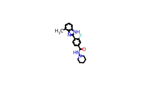 Cc1cccc2[nH]c(-c3ccc(C(=O)NN4CCCCC4)cc3F)nc12